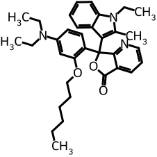 CCCCCCOc1cc(N(CC)CC)ccc1C1(c2c(C)n(CC)c3ccccc23)OC(=O)c2cccnc21